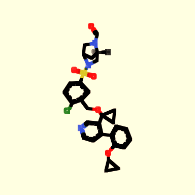 O=CN1CC2C[C@H]1CN2S(=O)(=O)c1ccc(Cl)c(COC2(c3cnccc3-c3ccccc3OC3CC3)CC2)c1